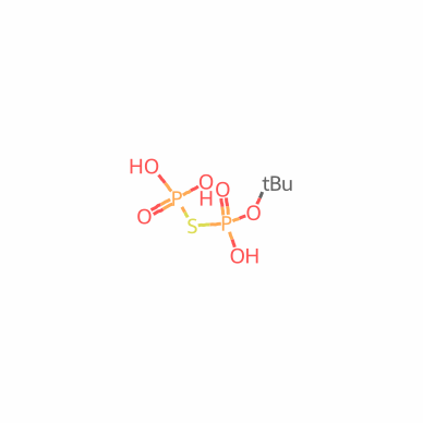 CC(C)(C)OP(=O)(O)SP(=O)(O)O